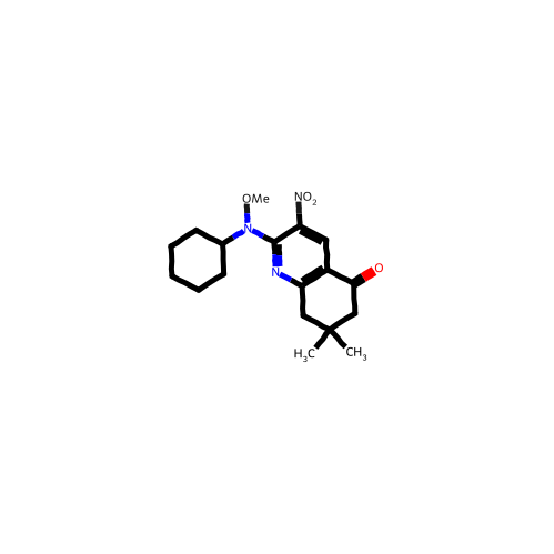 CON(c1nc2c(cc1[N+](=O)[O-])C(=O)CC(C)(C)C2)C1CCCCC1